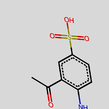 CC(=O)c1cc(S(=O)(=O)O)ccc1N